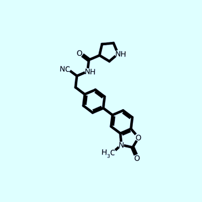 Cn1c(=O)oc2ccc(-c3ccc(CC(C#N)NC(=O)C4CCNC4)cc3)cc21